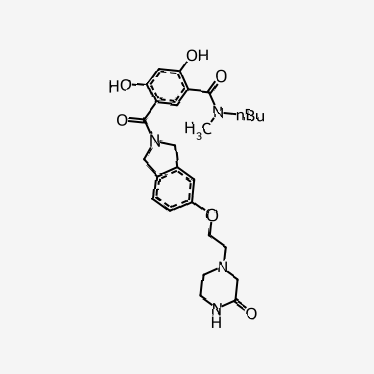 CCCCN(C)C(=O)c1cc(C(=O)N2Cc3ccc(OCCN4CCNC(=O)C4)cc3C2)c(O)cc1O